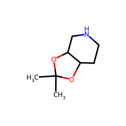 CC1(C)OC2CCNCC2O1